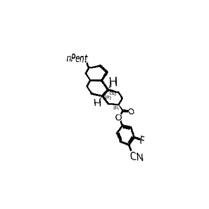 CCCCCC1CCC2C(CC[C@@H]3C[C@H](C(=O)Oc4ccc(C#N)c(F)c4)CC[C@H]23)C1